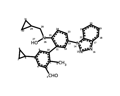 Cc1c(C=O)cc(C2CC2)cc1-c1cc(-n2nnc3ccccc32)ccc1N(O)CC1CC1